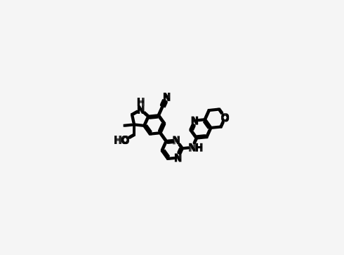 CC1(CO)CNc2c(C#N)cc(-c3ccnc(Nc4cnc5c(c4)COCC5)n3)cc21